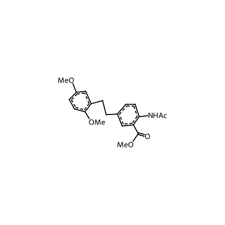 COC(=O)c1cc(CCc2cc(OC)ccc2OC)ccc1NC(C)=O